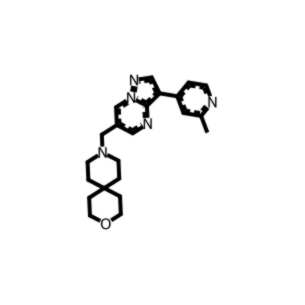 Cc1cc(-c2cnn3cc(CN4CCC5(CCOCC5)CC4)cnc23)ccn1